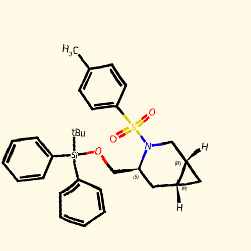 Cc1ccc(S(=O)(=O)N2C[C@@H]3C[C@@H]3C[C@H]2CO[Si](c2ccccc2)(c2ccccc2)C(C)(C)C)cc1